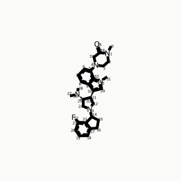 CN1CCN(c2cccc3c([C@H]4CN(C5CCc6cccc(F)c65)C[C@@H]4N(C)C)cn(C)c23)CC1=O